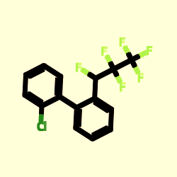 FC(c1ccccc1-c1ccccc1Cl)C(F)(F)C(F)(F)F